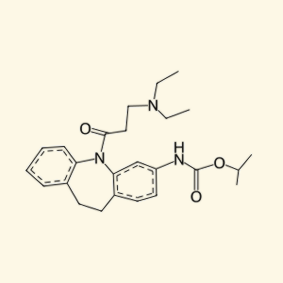 CCN(CC)CCC(=O)N1c2ccccc2CCc2ccc(NC(=O)OC(C)C)cc21